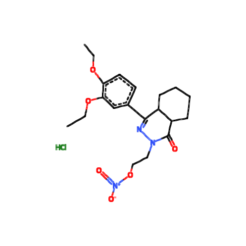 CCOc1ccc(C2=NN(CCO[N+](=O)[O-])C(=O)C3CCCCC23)cc1OCC.Cl